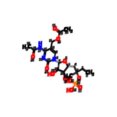 CCC(C)(C[C@H]1O[C@@H](n2cc(COC(C)=O)c(NC(C)=O)nc2=O)[C@H](O)[C@@H]1O)OP(=O)(O)O